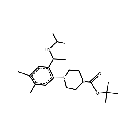 Cc1cc(C(C)NC(C)C)c(N2CCN(C(=O)OC(C)(C)C)CC2)cc1C